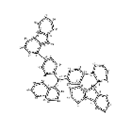 c1ccc(-n2c3ccccc3c3ccccc32)c(-c2ccc(N(c3ccc(-c4cccc5c4sc4ccccc45)cc3)c3cccc4ccccc34)cc2)c1